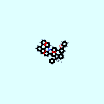 CC1(c2ccccc2)c2ccccc2-c2ccc(-c3ccccc3N(c3ccc(-c4cccc5c4oc4ccccc45)cc3)c3ccccc3-c3cccc4cccc(-c5ccccc5)c34)cc21